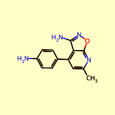 Cc1cc(-c2ccc(N)cc2)c2c(N)noc2n1